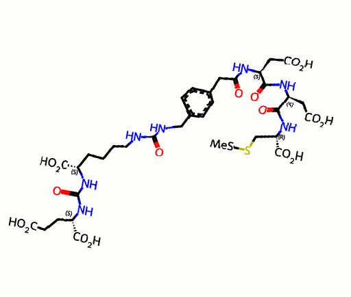 CSSC[C@H](NC(=O)[C@H](CC(=O)O)NC(=O)[C@H](CC(=O)O)NC(=O)Cc1ccc(CNC(=O)NCCCC[C@H](NC(=O)N[C@@H](CCC(=O)O)C(=O)O)C(=O)O)cc1)C(=O)O